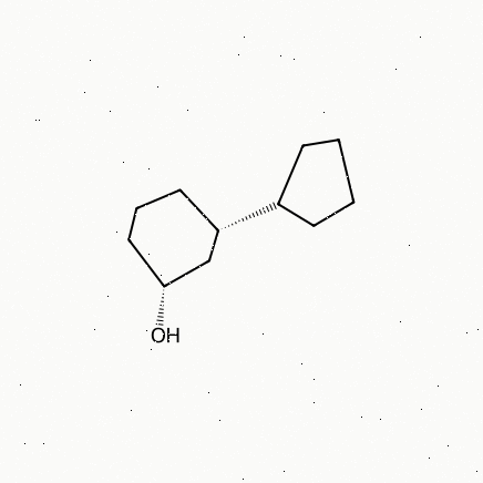 O[C@@H]1CCC[C@H](C2CCCC2)C1